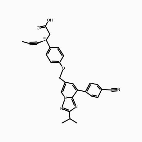 CC#C[C@@H](CC(=O)O)c1ccc(OCc2cc(-c3ccc(C#N)cc3)c3nc(C(C)C)nn3c2)cc1